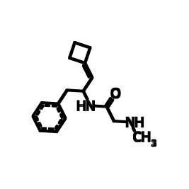 CNCC(=O)NC(C=C1CCC1)Cc1ccccc1